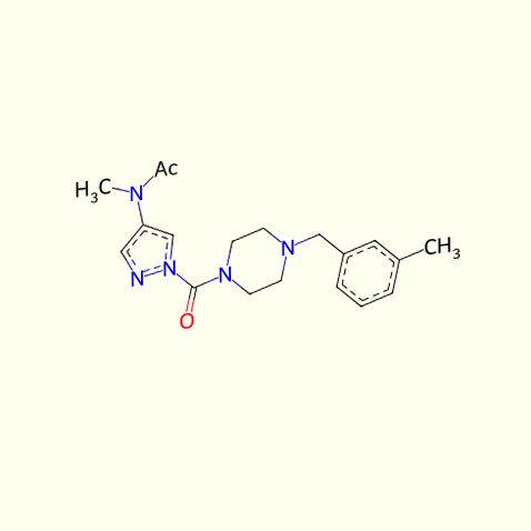 CC(=O)N(C)c1cnn(C(=O)N2CCN(Cc3cccc(C)c3)CC2)c1